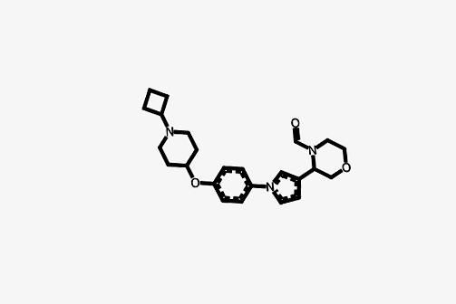 O=CN1CCOCC1c1ccn(-c2ccc(OC3CCN(C4CCC4)CC3)cc2)c1